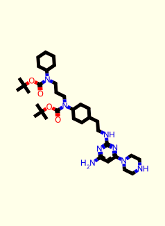 CC(C)(C)OC(=O)N(CCCN(C(=O)OC(C)(C)C)C1CCC(CCNc2nc(N)cc(N3CCNCC3)n2)CC1)C1CCCCC1